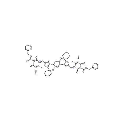 CC1=C(C#N)C(=O)N(C(=O)OCc2ccccc2)C(=O)/C1=C/c1cc2c(s1)-c1cc3c(cc1OC21CCCCC1)-c1sc(/C=C2/C(=O)N(C(=O)OCc4ccccc4)C(=O)C(C#N)=C2C)cc1C1(CCCCC1)O3